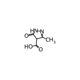 CC1=NNC(=O)C1C(=O)O